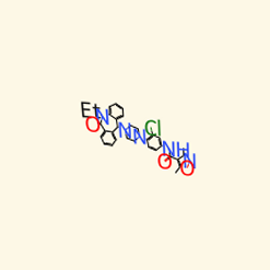 CCN1C(=O)c2ccccc2C(N2CCN(c3ccc(NC(=O)c4c(C)noc4C)cc3Cl)CC2)c2ccccc21